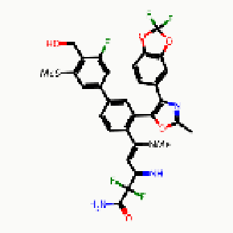 CN/C(=C\C(=N)C(F)(F)C(N)=O)c1ccc(-c2cc(F)c(CO)c(SC)c2)cc1-c1oc(C)nc1-c1ccc2c(c1)OC(F)(F)O2